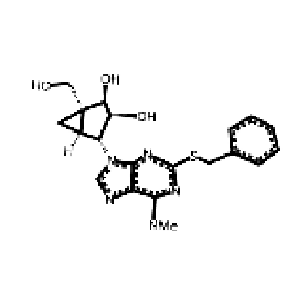 CNc1nc(SCc2ccccc2)nc2c1ncn2[C@H]1[C@H](O)[C@H](O)[C@]2(CO)C[C@H]12